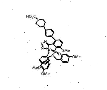 COc1ccc(CN(Cc2ccc(OC)cc2)S(=O)(=O)c2c(SC)ccc(-c3ccc(C4CCN(C(=O)O)CC4)cc3)c2-c2nnnn2Cc2ccc(OC)cc2)cc1